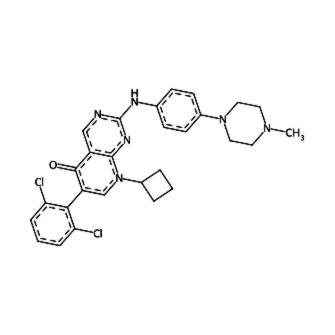 CN1CCN(c2ccc(Nc3ncc4c(=O)c(-c5c(Cl)cccc5Cl)cn(C5CCC5)c4n3)cc2)CC1